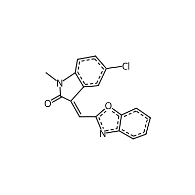 CN1C(=O)/C(=C/c2nc3ccccc3o2)c2cc(Cl)ccc21